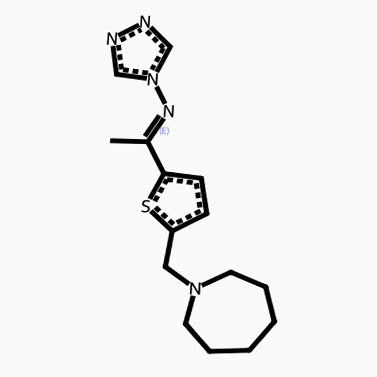 C/C(=N\n1cnnc1)c1ccc(CN2CCCCCC2)s1